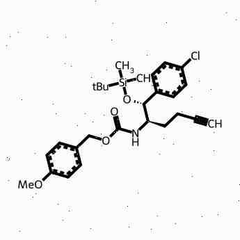 C#CCC[C@@H](NC(=O)OCc1ccc(OC)cc1)[C@H](O[Si](C)(C)C(C)(C)C)c1ccc(Cl)cc1